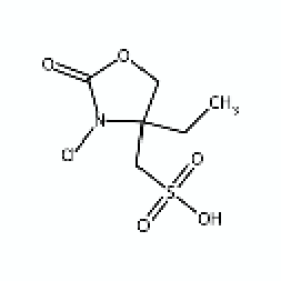 CCC1(CS(=O)(=O)O)COC(=O)N1Cl